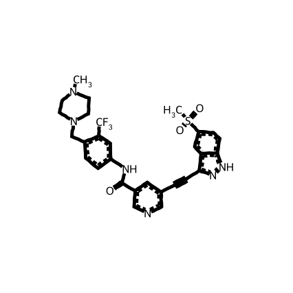 CN1CCN(Cc2ccc(NC(=O)c3cncc(C#Cc4n[nH]c5ccc(S(C)(=O)=O)cc45)c3)cc2C(F)(F)F)CC1